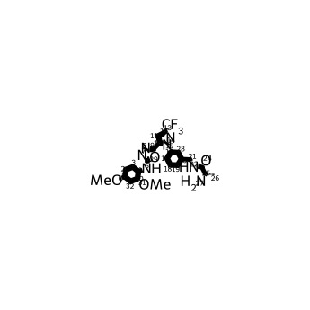 COc1ccc(Nc2nnc(-c3cc(C(F)(F)F)nn3-c3cccc(CNC(=O)[C@H](C)N)c3)o2)c(OC)c1